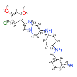 COc1cc(OC)c(-c2cn3ccc(N[C@H]4CC[C@H](NCc5cccc(C#N)c5)CC4)cc3n2)cc1Cl